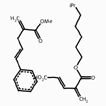 C=C(C=CC(=O)O)C(=O)OCCCCCC(C)C.C=C(CC=Cc1ccccc1)C(=O)OC